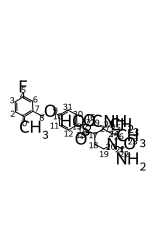 Cc1ccc(F)cc1COc1ccc(S(=O)(=O)C2CCN(C(N)=O)C(C)(C)C2(N)C(=O)O)cc1